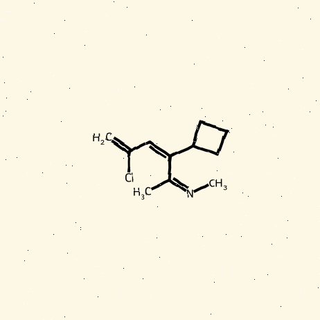 C=C(Cl)/C=C(\C(C)=N/C)C1CCC1